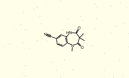 CN1C(=O)C(C)(C)C(=O)Nc2cc(C#N)ccc21